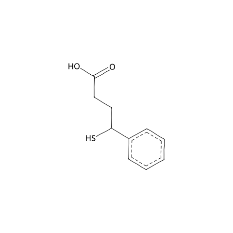 O=C(O)CCC(S)c1ccccc1